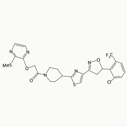 CSc1nccnc1OCC(=O)N1CCC(c2nc(C3=NOC(c4c(Cl)cccc4C(F)(F)F)C3)cs2)CC1